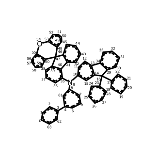 c1ccc(-c2cccc(N(c3ccc4c(c3)C(c3ccccc3)(c3ccccc3)c3ccccc3-4)c3cccc4c3-c3ccccc3C43c4ccccc4Oc4ccccc43)c2)cc1